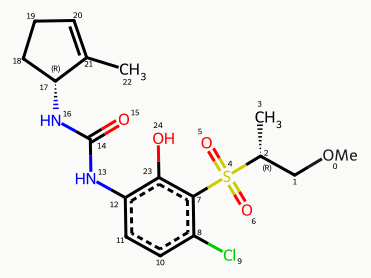 COC[C@@H](C)S(=O)(=O)c1c(Cl)ccc(NC(=O)N[C@@H]2CCC=C2C)c1O